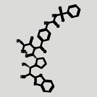 CC(C)[C@@H](C(O)c1nc2ccccc2o1)N1CCC[C@H]1C(=O)N(C(=O)c1ccc(NC(=O)NS(=O)(=O)c2ccccc2)cc1)C(=O)[C@@H](N)C(C)C